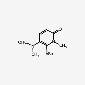 CCCCc1c(N(C)C=O)ccc(=O)n1C